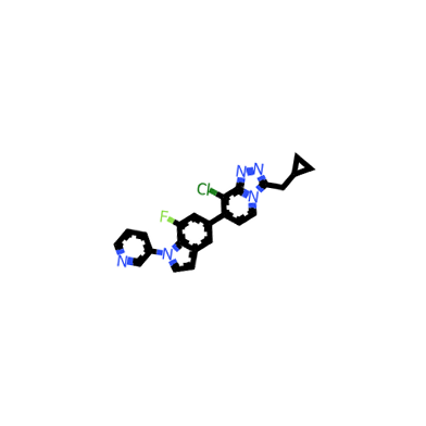 Fc1cc(-c2ccn3c(CC4CC4)nnc3c2Cl)cc2ccn(-c3cccnc3)c12